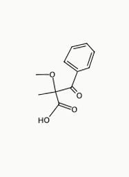 COC(C)(C(=O)O)C(=O)c1ccccc1